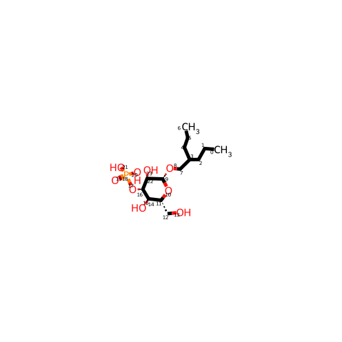 CCCC(CCC)CO[C@@H]1O[C@H](CO)[C@@H](O)[C@H](OP(=O)(O)O)[C@H]1O